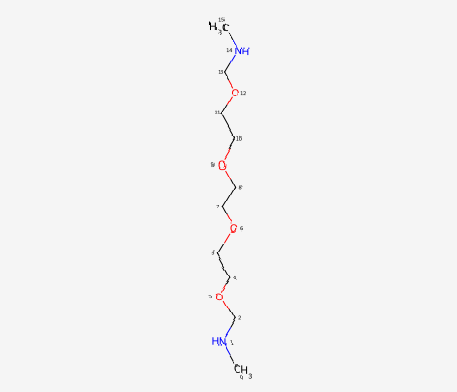 CNCOCCOCCOCCOCNC